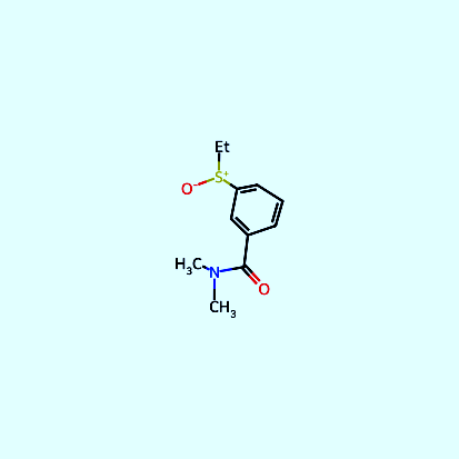 CC[S+]([O-])c1cccc(C(=O)N(C)C)c1